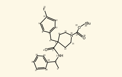 CC(NC(=O)C1(Cc2ccc(F)cc2)CCN(C(=O)OC(C)(C)C)CC1)c1ccccc1